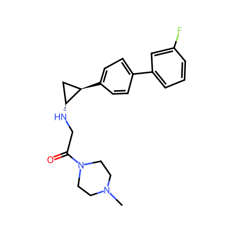 CN1CCN(C(=O)CN[C@@H]2C[C@H]2c2ccc(-c3cccc(F)c3)cc2)CC1